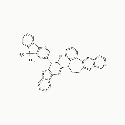 CCC1C(C2CCc3cc4ccccc4cc3-c3ccccc32)=Nc2c(sc3ccccc23)C1c1ccc2c(c1)C(C)(C)c1ccccc1-2